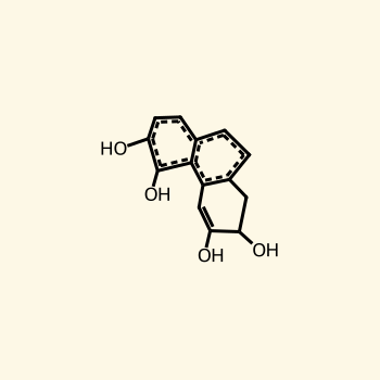 OC1=Cc2c(ccc3ccc(O)c(O)c23)CC1O